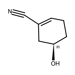 N#CC1=CCC[C@@H](O)C1